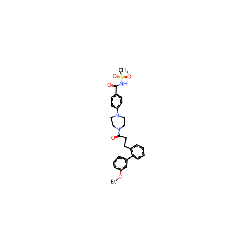 CCOc1cccc(-c2ccccc2CCC(=O)N2CCN(c3ccc(C(=O)NS(C)(=O)=O)cc3)CC2)c1